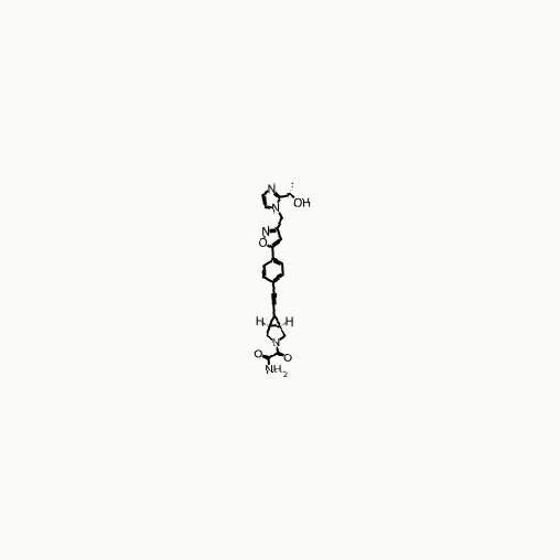 C[C@H](O)c1nccn1Cc1cc(-c2ccc(C#CC3[C@H]4CN(C(=O)C(N)=O)C[C@@H]34)cc2)on1